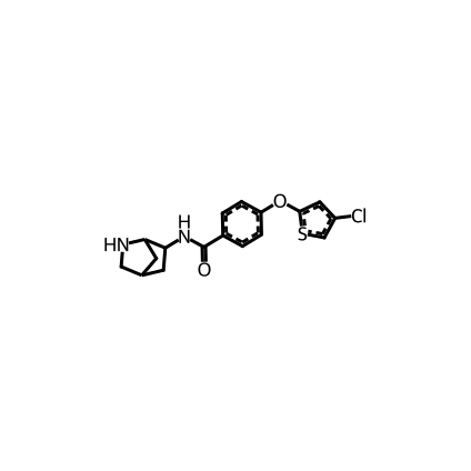 O=C(NC1CC2CNC1C2)c1ccc(Oc2cc(Cl)cs2)cc1